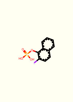 O=P(O)(O)Oc1c(I)ccc2ccccc12